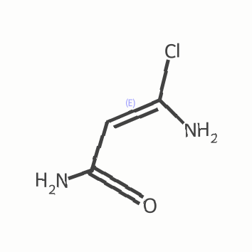 NC(=O)/C=C(\N)Cl